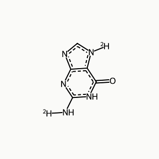 [2H]Nc1nc2ncn([2H])c2c(=O)[nH]1